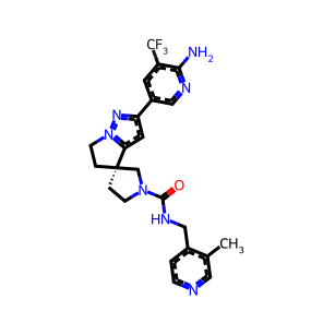 Cc1cnccc1CNC(=O)N1CC[C@@]2(CCn3nc(-c4cnc(N)c(C(F)(F)F)c4)cc32)C1